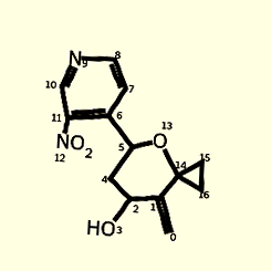 C=C1C(O)CC(c2ccncc2[N+](=O)[O-])OC12CC2